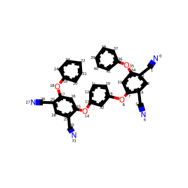 N#Cc1cc(C#N)c(Oc2cccc(Oc3cc(Oc4ccccc4)c(C#N)cc3C#N)c2)cc1Oc1ccccc1